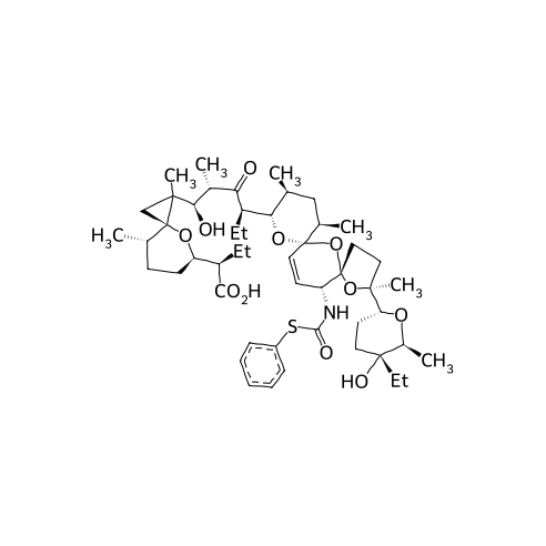 CC[C@@H](C(=O)[C@@H](C)[C@@H](O)C1(C)C[C@]12O[C@@H]([C@@H](CC)C(=O)O)CC[C@@H]2C)[C@H]1O[C@]2(C=C[C@@H](NC(=O)Sc3ccccc3)[C@]3(CC[C@@](C)([C@H]4CC[C@](O)(CC)[C@H](C)O4)O3)O2)[C@H](C)C[C@@H]1C